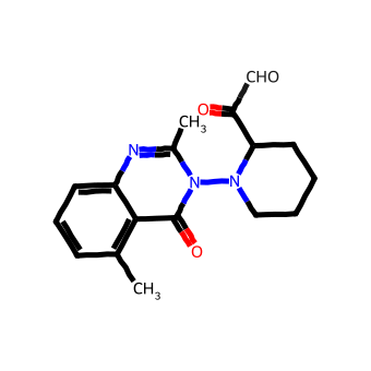 Cc1cccc2nc(C)n(N3CCCCC3C(=O)C=O)c(=O)c12